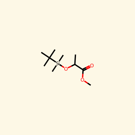 COC(=O)C(C)O[Si](C)(C)C(C)(C)C